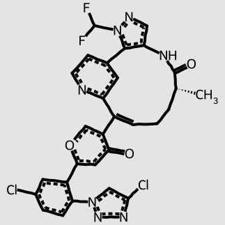 C[C@@H]1CC/C=C(/c2coc(-c3cc(Cl)ccc3-n3cc(Cl)nn3)cc2=O)c2cc(ccn2)-c2c(cnn2C(F)F)NC1=O